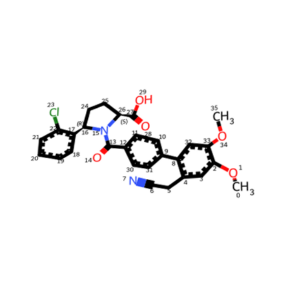 COc1cc(CC#N)c(-c2ccc(C(=O)N3[C@@H](c4ccccc4Cl)CC[C@H]3C(=O)O)cc2)cc1OC